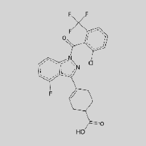 O=C(O)C1CC=C(c2nn(C(=O)c3c(Cl)cccc3C(F)(F)F)c3cccc(F)c23)CC1